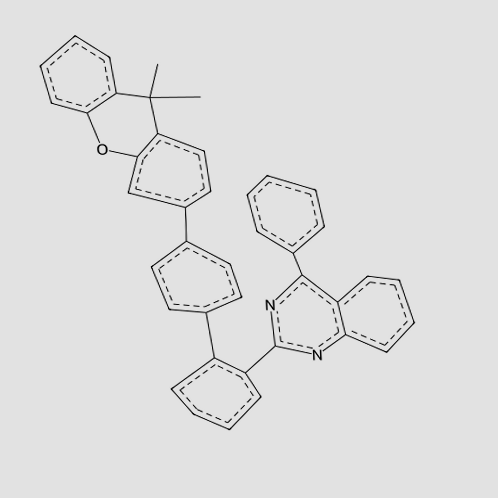 CC1(C)c2ccccc2Oc2cc(-c3ccc(-c4ccccc4-c4nc(-c5ccccc5)c5ccccc5n4)cc3)ccc21